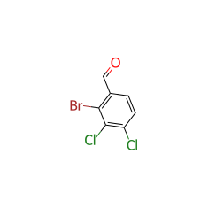 O=Cc1ccc(Cl)c(Cl)c1Br